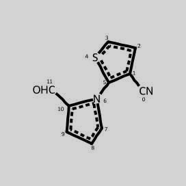 N#Cc1ccsc1-n1cccc1C=O